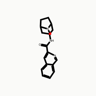 CN1C2CCC1CC(NC(=O)c1cc3ccccc3cn1)C2